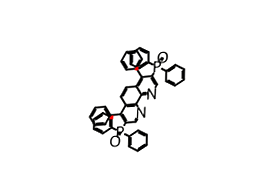 O=P(c1ccccc1)(c1ccccc1)c1cnc2c(ccc3c(-c4ccccc4)c(P(=O)(c4ccccc4)c4ccccc4)cnc32)c1-c1ccccc1